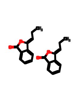 CC/C=C1\OC(=O)c2ccccc21.CC/C=C1\OC(=O)c2ccccc21